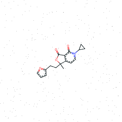 CC1(CCc2ccco2)OC(=O)c2c1ccn(C1CC1)c2=O